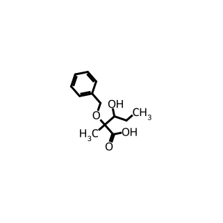 CCC(O)C(C)(OCc1ccccc1)C(=O)O